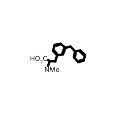 CNC(Cc1cccc(Cc2ccccc2)c1)C(=O)O